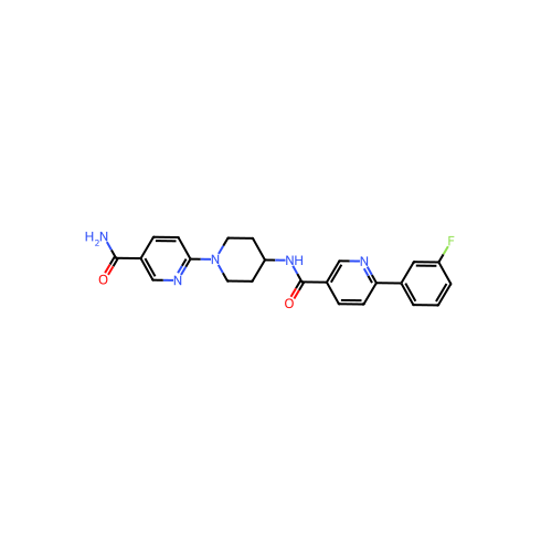 NC(=O)c1ccc(N2CCC(NC(=O)c3ccc(-c4cccc(F)c4)nc3)CC2)nc1